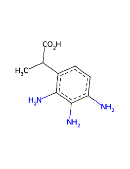 CC(C(=O)O)c1ccc(N)c(N)c1N